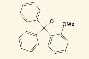 COc1ccccc1C([O])(c1ccccc1)c1ccccc1